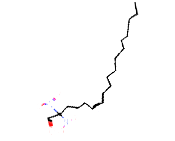 CCCCCCCCCCC/C=C\CCCC([C]=O)([N+](=O)[O-])[N+](=O)[O-]